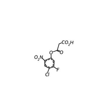 O=C(O)CC(=O)Oc1cc(F)c(Cl)cc1[N+](=O)[O-]